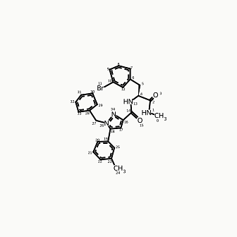 CNC(=O)[C@H](Cc1cccc(Br)c1)NC(=O)c1cc(-c2cccc(C)c2)n(Cc2ccccc2)n1